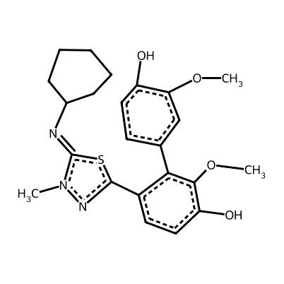 COc1cc(-c2c(-c3nn(C)c(=NC4CCCCC4)s3)ccc(O)c2OC)ccc1O